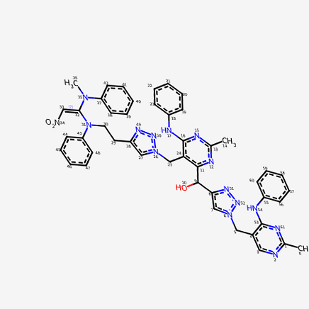 Cc1ncc(Cn2cc(C(O)c3nc(C)nc(Nc4ccccc4)c3Cn3cc(CCN(/C(=C\[N+](=O)[O-])N(C)c4ccccc4)c4ccccc4)nn3)nn2)c(Nc2ccccc2)n1